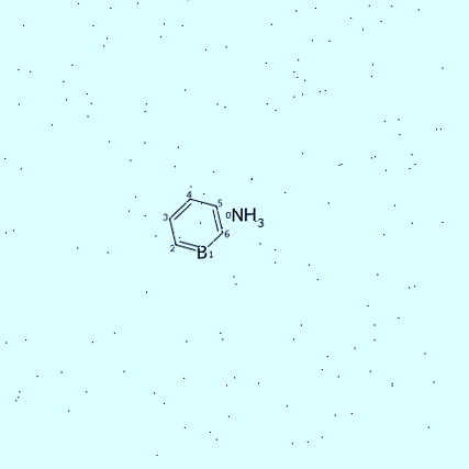 N.b1ccccc1